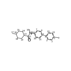 Cc1ccc(-c2ccc(N(C)C(=O)C3CCC(C)CC3)cc2)cc1